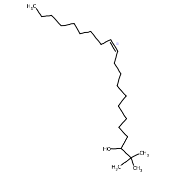 CCCCCCCC/C=C\CCCCCCCCC(O)C(C)(C)C